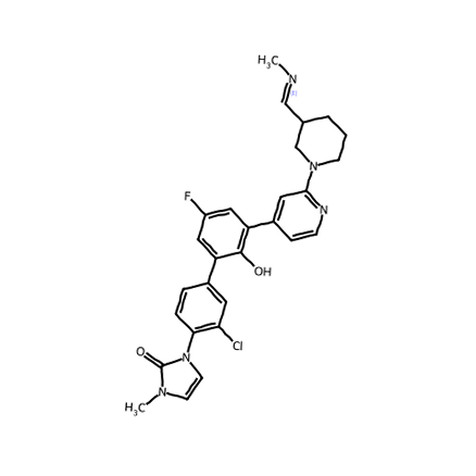 C/N=C/C1CCCN(c2cc(-c3cc(F)cc(-c4ccc(-n5ccn(C)c5=O)c(Cl)c4)c3O)ccn2)C1